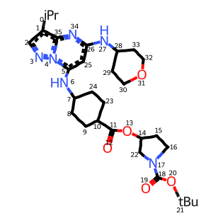 CC(C)c1cnn2c(NC3CCC(C(=O)OC4CCN(C(=O)OC(C)(C)C)C4)CC3)cc(NC3CCOCC3)nc12